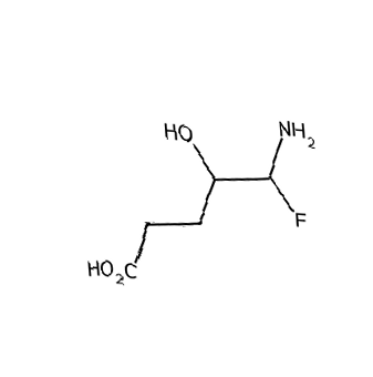 NC(F)C(O)CCC(=O)O